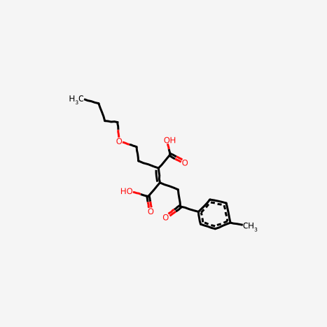 CCCCOCC/C(C(=O)O)=C(/CC(=O)c1ccc(C)cc1)C(=O)O